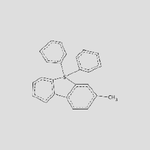 Cc1ccc2c(c1)S(c1ccccc1)(c1ccccc1)c1ccccc1-2